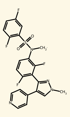 [CH2]N(c1ccc(F)c(-c2nn(C)cc2-c2ccncc2)c1F)S(=O)(=O)c1cc(F)ccc1F